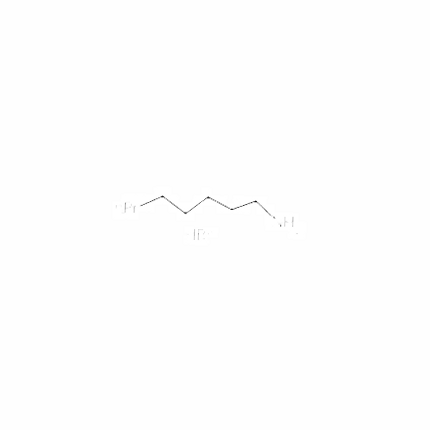 Br.CCCCCCCCN